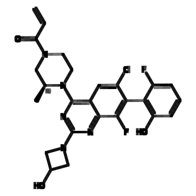 C=CC(=O)N1CCN(c2nc(N3CC(O)C3)nc3c(F)c(-c4c(O)cccc4F)c(Cl)cc23)[C@@H](C)C1